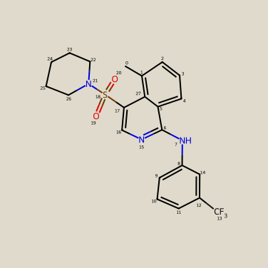 Cc1cccc2c(Nc3cccc(C(F)(F)F)c3)ncc(S(=O)(=O)N3CCCCC3)c12